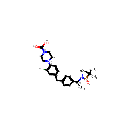 C[C@H](N[S+]([O-])C(C)(C)C)c1ccc(Cc2ccc(N3CCN(C(=O)O)CC3)c(F)c2)cc1